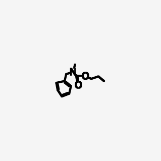 CCCOC(=O)N(C)Cc1ccccc1